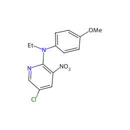 CCN(c1ccc(OC)cc1)c1ncc(Cl)cc1[N+](=O)[O-]